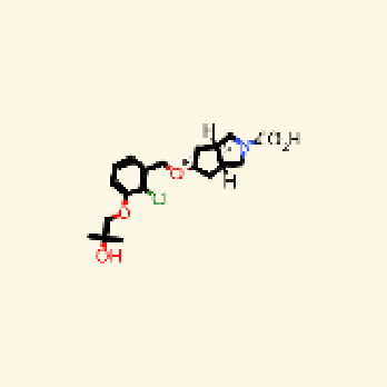 CC(C)(O)COc1cccc(CO[C@@H]2C[C@@H]3CN(C(=O)O)C[C@@H]3C2)c1Cl